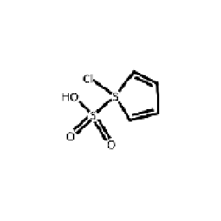 O=S(=O)(O)S1(Cl)C=CC=C1